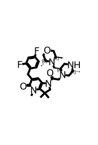 C[C@@H]1CN(CC(=O)N2CC(C)(C)c3c2cc(Cc2ccc(F)cc2F)c(=O)n3C)[C@@H](CN2[C@H](C)COC[C@H]2C)CN1